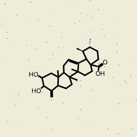 C=C1C(O)C(O)CC2(C)C1CCC1(C)C2CC=C2C3[C@@H](C)[C@H](C)CCC3(C(=O)O)CCC21C